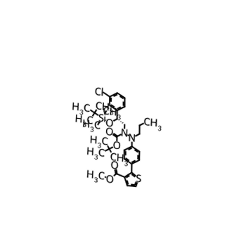 CCCN(c1ccc(-c2sccc2C(=O)OC)cc1)N(C[C@H](O[Si](C)(C)C(C)(C)C)c1cccc(Cl)c1)C(=O)OC(C)(C)C